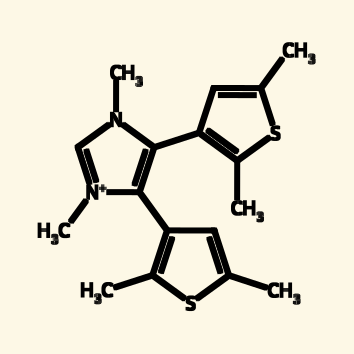 Cc1cc(-c2c(-c3cc(C)sc3C)[n+](C)cn2C)c(C)s1